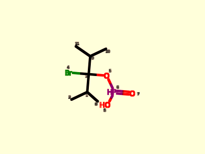 CC(C)C(Br)(O[PH](=O)O)C(C)C